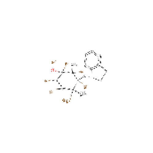 CC1(Br)C(Br)(Br)C(Br)C(Br)(OBr)C(C)(Br)C1(C)Br.c1ccc2c(c1)CCC2